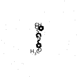 COc1ccc(CCN2CCC(Sc3ccccc3OC)CC2)cc1